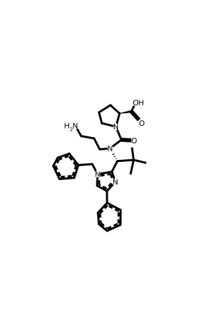 CC(C)(C)[C@H](c1nc(-c2ccccc2)cn1Cc1ccccc1)N(CCCN)C(=O)N1CCC[C@H]1C(=O)O